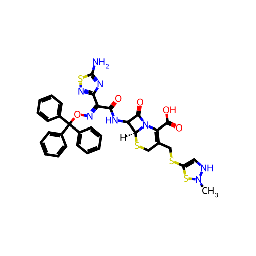 CN1NC=C(SCC2=C(C(=O)O)N3C(=O)C(NC(=O)C(=NOC(c4ccccc4)(c4ccccc4)c4ccccc4)c4nsc(N)n4)[C@@H]3SC2)S1